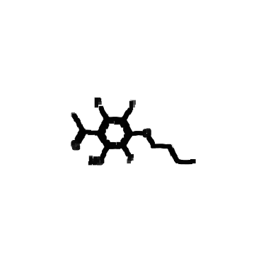 CCCCOc1c(F)c(O)c(C(C)=O)c(F)c1F